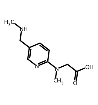 CNCc1ccc(N(C)CC(=O)O)nc1